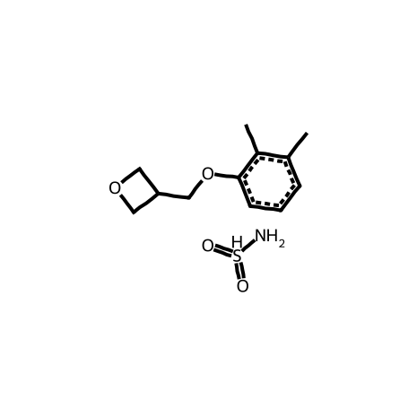 Cc1cccc(OCC2COC2)c1C.N[SH](=O)=O